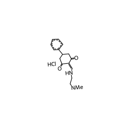 CNCCNC=C1C(=O)CC(c2ccccc2)CC1=O.Cl